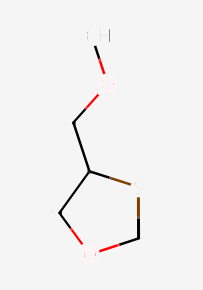 COCC1CO[CH]S1